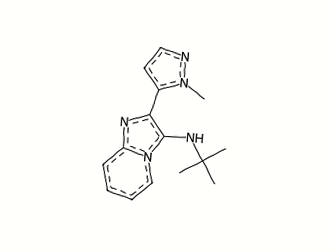 Cn1nccc1-c1nc2ccccn2c1NC(C)(C)C